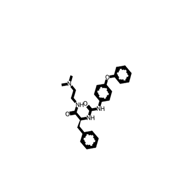 CN(C)CCNC(=O)[C@H](Cc1ccccc1)NC(=O)Nc1ccc(Oc2ccccc2)cc1